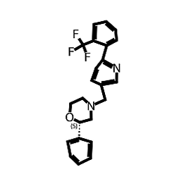 FC(F)(F)c1ccccc1-c1ccc(CN2CCO[C@@H](c3ccccc3)C2)cn1